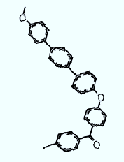 COc1ccc(-c2ccc(-c3ccc(Oc4ccc(C(=O)c5ccc(C)cc5)cc4)cc3)cc2)cc1